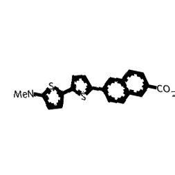 CNc1ccc(-c2ccc(-c3ccc4cc(C(=O)O)ccc4c3)s2)s1